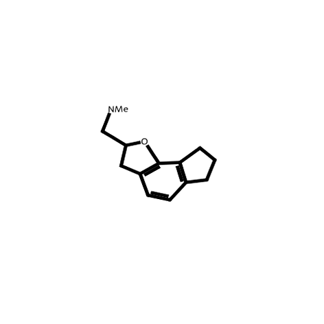 CNCC1Cc2ccc3c(c2O1)CCC3